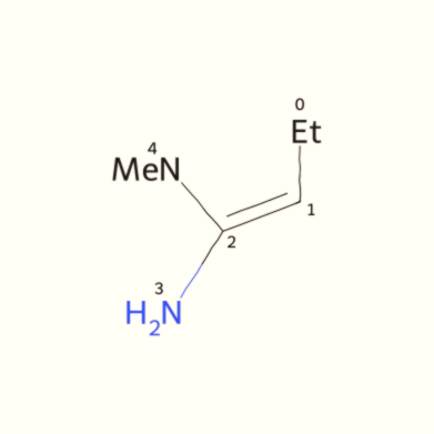 CC/C=C(/N)NC